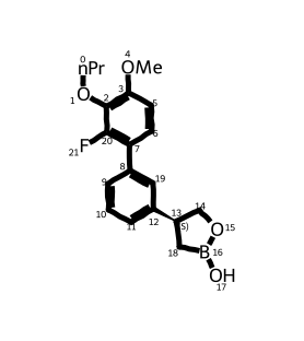 CCCOc1c(OC)ccc(-c2cccc([C@H]3COB(O)C3)c2)c1F